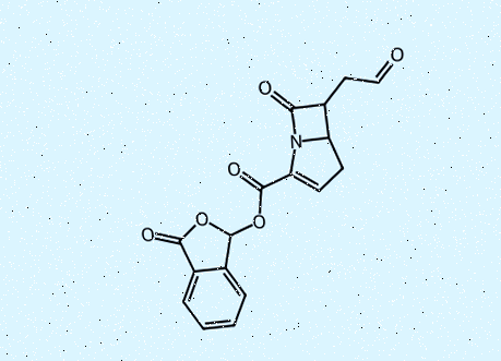 O=CCC1C(=O)N2C(C(=O)OC3OC(=O)c4ccccc43)=CCC12